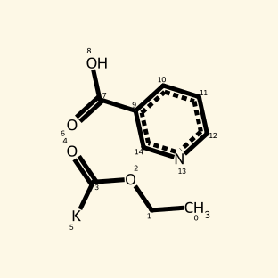 CCO[C](=O)[K].O=C(O)c1cccnc1